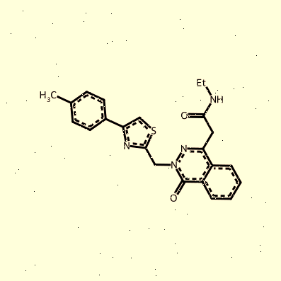 CCNC(=O)Cc1nn(Cc2nc(-c3ccc(C)cc3)cs2)c(=O)c2ccccc12